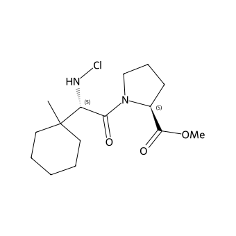 COC(=O)[C@@H]1CCCN1C(=O)[C@@H](NCl)C1(C)CCCCC1